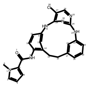 Cn1cccc1C(=O)Nc1ccc2cc1CCc1cccc(c1)Nc1ncc(Cl)c(n1)N2